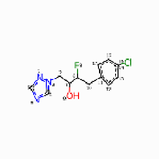 OC(Cn1cncn1)C(F)Cc1ccc(Cl)cc1